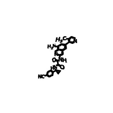 Cc1ccncc1-c1cc(N)c2cnc(NC(=O)C(=O)NC3(c4ccc(C#N)cc4)CC3)cc2c1